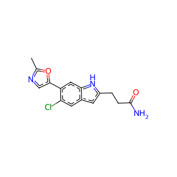 Cc1ncc(-c2cc3[nH]c(CCC(N)=O)cc3cc2Cl)o1